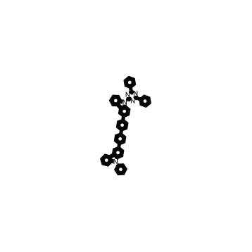 c1ccc(-c2nc(-c3ccccc3)nc(-n3c4ccccc4c4cc(-c5ccc(-c6ccc(-c7ccc8c(c7)c7ccccc7n8-c7ccccc7)cc6)cc5)ccc43)n2)cc1